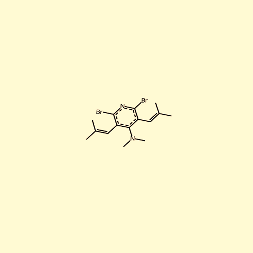 CC(C)=Cc1c(Br)nc(Br)c(C=C(C)C)c1N(C)C